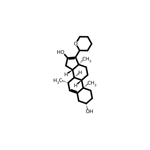 C[C@H]1C=C2C[C@@H](O)CC[C@]2(C)[C@H]2CC[C@]3(C)C(C4CCCCO4)=C(O)C[C@H]3[C@H]12